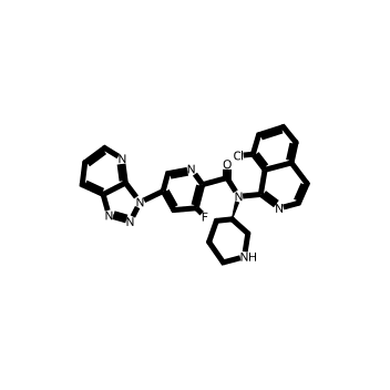 O=C(c1ncc(-n2nnc3cccnc32)cc1F)N(c1nccc2cccc(Cl)c12)[C@@H]1CCCNC1